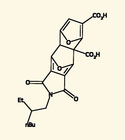 CCCCC(CC)CN1C(=O)c2c3oc(c2C1=O)C1(C(=O)O)c2oc(cc2C(=O)O)C31